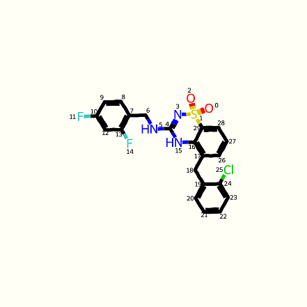 O=S1(=O)N=C(NCc2ccc(F)cc2F)Nc2c(Cc3ccccc3Cl)cccc21